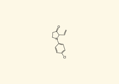 C=CC1C(=O)CCN1c1ccc(Cl)cc1